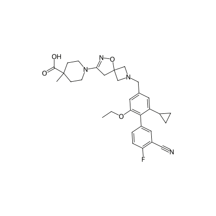 CCOc1cc(CN2CC3(CC(N4CCC(C)(C(=O)O)CC4)=NO3)C2)cc(C2CC2)c1-c1ccc(F)c(C#N)c1